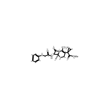 COC(=O)C1(C2=C(C(=O)O)N3C(=O)[C@@H](NC(=O)COc4ccccc4)[C@H]3SC2)CC1